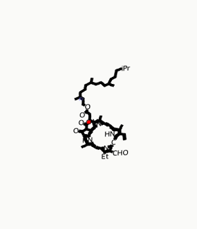 C=Cc1c(C)c2cc3nc(c4c5[nH]c(cc6nc(cc1[nH]2)C(C=O)=C6CC)c(C)c5C(=O)C4C(=O)OC)C(CCC(=O)OC/C=C(\C)CCCC(C)CCCC(C)CCCC(C)C)=C3C